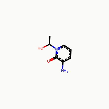 [CH2]C(O)n1cccc(N)c1=O